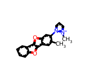 Cc1cc2c(cc1-n1ccc[n+]1C)oc1c3ccccc3oc21